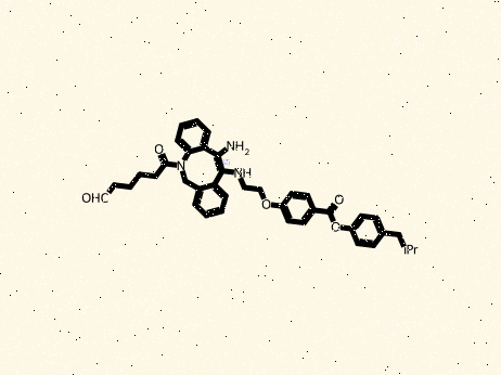 CC(C)Cc1ccc(OC(=O)c2ccc(OCCN/C3=C(\N)c4ccccc4N(C(=O)CCCCC=O)Cc4ccccc43)cc2)cc1